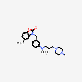 COc1ccc2oc(=O)n(Cc3cccc(N(CCCN4CCN(C)CC4)C(=O)O)c3)c2c1